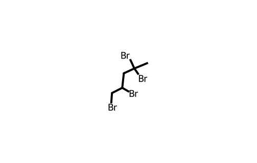 CC(Br)(Br)CC(Br)CBr